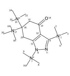 C[N+](C)(C)c1nn([N+](C)(C)C)c2c1C(=O)CC([N+](C)(C)C)([N+](C)(C)C)C2